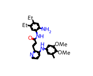 CCc1cc(N)c(NC(=O)/C=C/c2ncccc2Nc2cc(C)c(OC)c(OC)c2)cc1CC